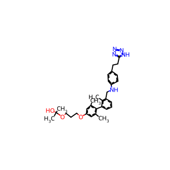 Cc1cc(OCCCOC(C)(C)O)cc(C)c1-c1cccc(CNc2ccc(CCc3nnn[nH]3)cc2)c1C